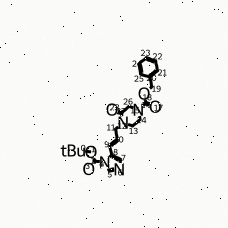 CC(C)(C)OC(=O)n1cncc1C=CCN1CCN(C(=O)OCc2ccccc2)CC1=O